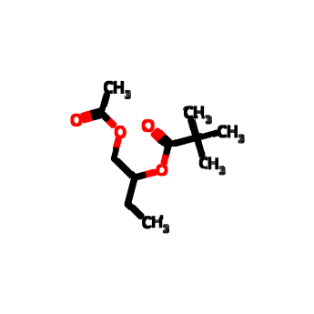 CCC(COC(C)=O)OC(=O)C(C)(C)C